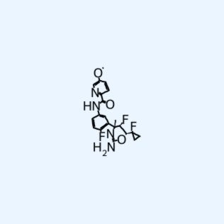 COc1ccc(C(=O)Nc2ccc(F)c([C@@]3(C)N=C(N)O[C@H](C4(F)CC4)[C@@H]3F)c2)nc1